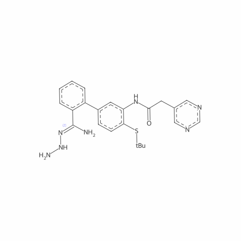 CC(C)(C)Sc1ccc(-c2ccccc2/C(N)=N/NN)cc1NC(=O)Cc1cncnc1